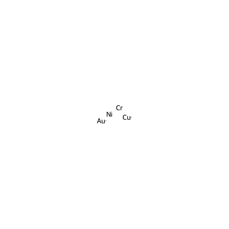 [Au].[Cr].[Cu].[Ni]